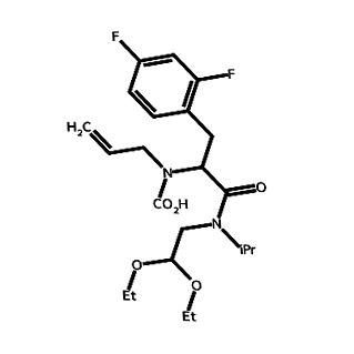 C=CCN(C(=O)O)C(Cc1ccc(F)cc1F)C(=O)N(CC(OCC)OCC)C(C)C